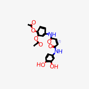 CC(=O)Oc1ccc(NC(=O)/C=C\C(=O)Nc2ccc(O)c(O)c2)cc1OC(C)=O